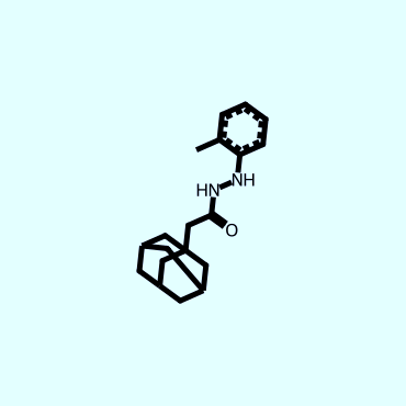 Cc1ccccc1NNC(=O)CC12CC3CC(CC(C3)C1)C2